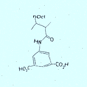 CCCCCCCCC(C)C(C)C(=O)Nc1cc(C(=O)O)cc(C(=O)O)c1